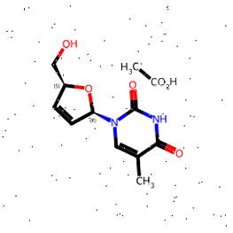 CC(=O)O.Cc1cn([C@H]2C=C[C@@H](CO)O2)c(=O)[nH]c1=O